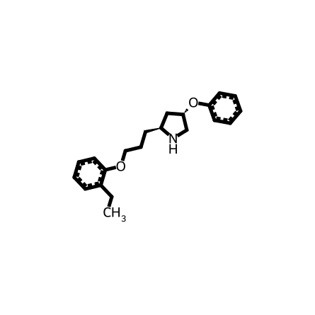 CCc1ccccc1OCCC[C@H]1C[C@H](Oc2ccccc2)CN1